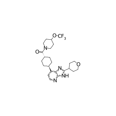 O=C([C@H]1CC[C@H](c2ccnc3[nH]c(C4CCOCC4)nc32)CC1)N1CCC(OC(F)(F)F)CC1